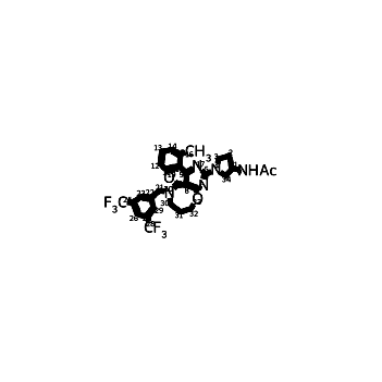 CC(=O)NC1CCN(c2nc3c(c(-c4ccccc4C)n2)C(=O)N(Cc2cc(C(F)(F)F)cc(C(F)(F)F)c2)CCCO3)C1